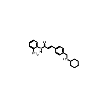 Nc1ccccc1NC(=O)/C=C/c1ccc(CNC2CCCCC2)cc1